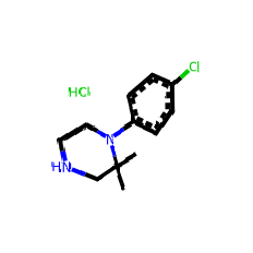 CC1(C)CNCCN1c1ccc(Cl)cc1.Cl